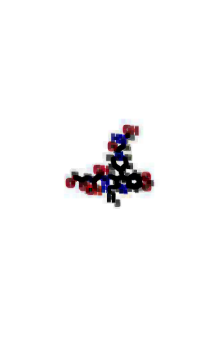 CC1=Nc2cc3c(cc2C(C2CCN(C(=O)CNCO)CC2)C1CNC(O)/C(=C/[C@H](O)C=O)CO)OCO3